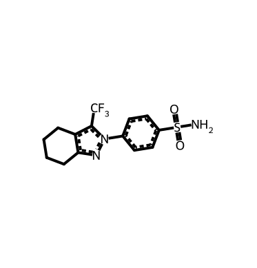 NS(=O)(=O)c1ccc(-n2nc3c(c2C(F)(F)F)CCCC3)cc1